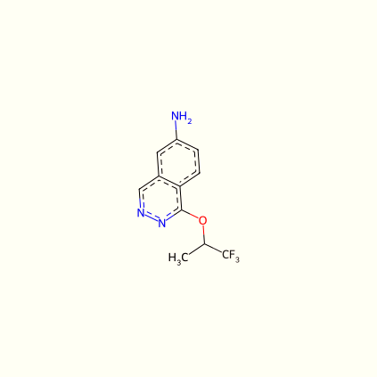 CC(Oc1nncc2cc(N)ccc12)C(F)(F)F